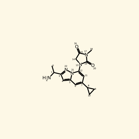 CC(N)c1cc2cc(C3CC3)cc(N3CC(=O)N(C)C3=O)n2n1